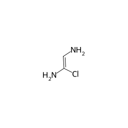 NC=C(N)Cl